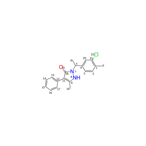 Cc1ccc(C(C)n2[nH]c(C)c(-c3ccccc3)c2=O)cc1Cl